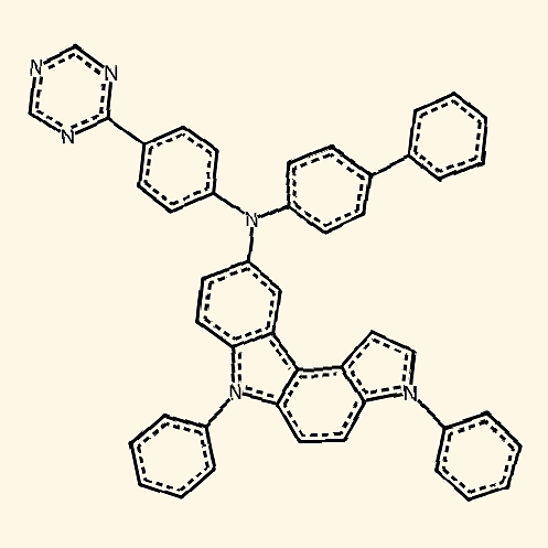 c1ccc(-c2ccc(N(c3ccc(-c4ncncn4)cc3)c3ccc4c(c3)c3c5ccn(-c6ccccc6)c5ccc3n4-c3ccccc3)cc2)cc1